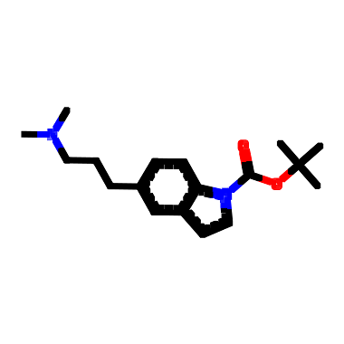 CN(C)CCCc1ccc2c(ccn2C(=O)OC(C)(C)C)c1